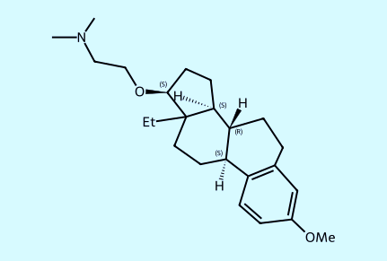 CCC12CC[C@@H]3c4ccc(OC)cc4CC[C@H]3[C@@H]1CC[C@@H]2OCCN(C)C